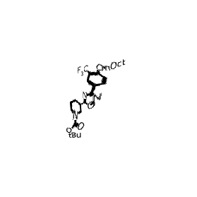 CCCCCCCCOc1ccc(-c2noc([C@@H]3CCCN(C(=O)OC(C)(C)C)C3)n2)cc1C(F)(F)F